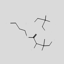 CC(C)(CO)C(O)C(=O)NCCCO.O=C(O)CC(O)(CC(=O)O)C(=O)O